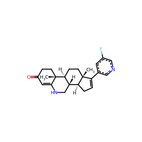 C[C@]12CCC(=O)C=C1NC[C@@H]1[C@@H]2CC[C@]2(C)C(c3cncc(F)c3)=CC[C@@H]12